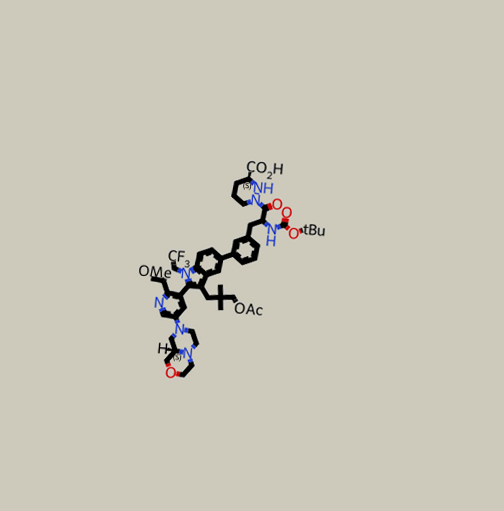 COC(C)c1ncc(N2CCN3CCOC[C@@H]3C2)cc1-c1c(CC(C)(C)COC(C)=O)c2cc(-c3cccc(CC(NC(=O)OC(C)(C)C)C(=O)N4CCC[C@@H](C(=O)O)N4)c3)ccc2n1CC(F)(F)F